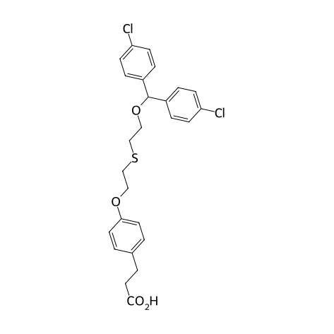 O=C(O)CCc1ccc(OCCSCCOC(c2ccc(Cl)cc2)c2ccc(Cl)cc2)cc1